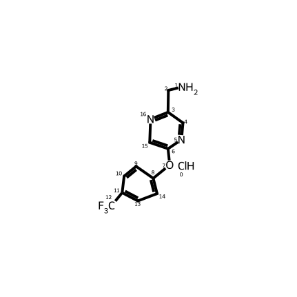 Cl.NCc1cnc(Oc2ccc(C(F)(F)F)cc2)cn1